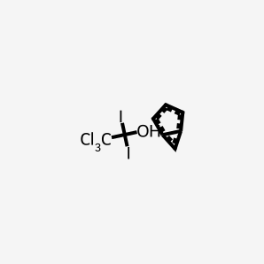 OC(I)(I)C(Cl)(Cl)Cl.c1cc2cc-2c1